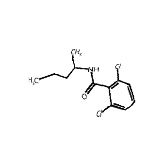 CCCC(C)NC(=O)c1c(Cl)cccc1Cl